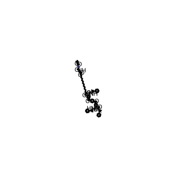 CC(C)(C)OC(=O)/C=C/C(=O)NCC(=O)OCCCCCCCCCCCCNC(=O)[C@@H]1CN(C(=O)c2ccc(C(=O)N3C[C@@H](C(=O)N[C@H]4C[C@@H]4c4ccccc4)[C@H](C(=O)N[C@H]4C[C@@H]4c4ccccc4)C3)cc2)C[C@H]1C(=O)N[C@H]1C[C@@H]1c1ccccc1